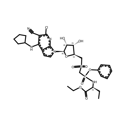 CCOC(=O)[C@H](CC)NP(=O)(CS(=O)(=O)C[C@H]1O[C@@H](n2ccc3c(NC4CCCC4)c(C#N)c(Cl)nc32)[C@H](O)[C@@H]1O)Oc1ccccc1